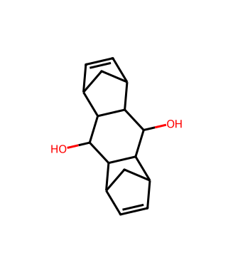 OC1C2C3C=CC(C3)C2C(O)C2C3C=CC(C3)C12